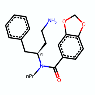 CCCN(C(=O)c1ccc2c(c1)OCO2)[C@H](CCN)Cc1ccccc1